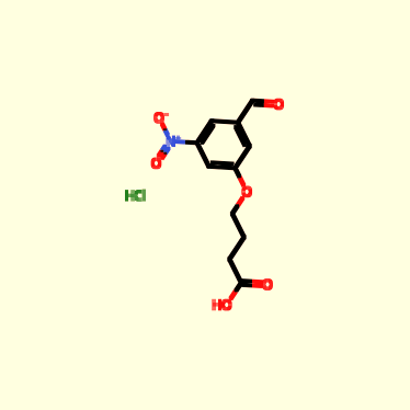 Cl.O=Cc1cc(OCCCC(=O)O)cc([N+](=O)[O-])c1